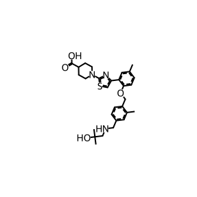 Cc1ccc(OCc2ccc(CNCC(C)(C)O)cc2C)c(-c2csc(N3CCC(C(=O)O)CC3)n2)c1